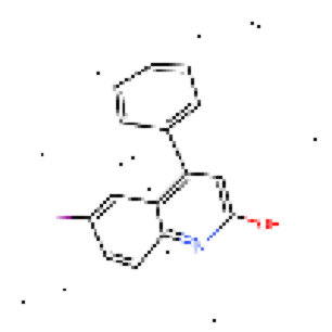 Oc1cc(-c2ccccc2)c2cc(I)ccc2n1